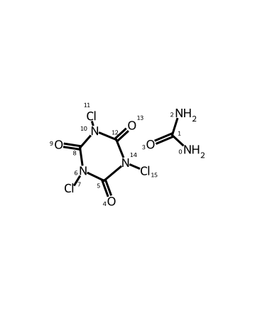 NC(N)=O.O=c1n(Cl)c(=O)n(Cl)c(=O)n1Cl